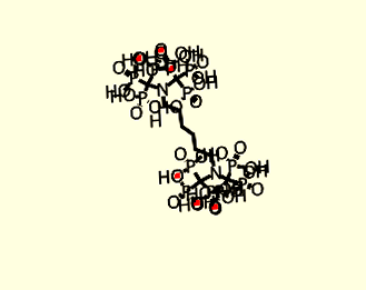 O=P(O)(O)C(N(CCCCCCN(C(P(=O)(O)O)(P(=O)(O)O)P(=O)(O)O)C(P(=O)(O)O)(P(=O)(O)O)P(=O)(O)O)C(P(=O)(O)O)(P(=O)(O)O)P(=O)(O)O)(P(=O)(O)O)P(=O)(O)O